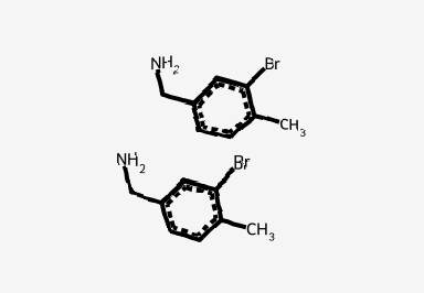 Cc1ccc(CN)cc1Br.Cc1ccc(CN)cc1Br